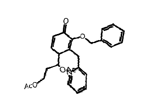 CC(=O)OCCC(OC(C)=O)C1C=CC(=O)C(OCc2ccccc2)=C1Cc1ccccn1